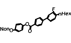 CCCCCCCCCOc1ccc(OC(=O)c2ccc(-c3ccc(CCCCCC)c(F)c3)cc2)cc1